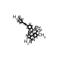 Cc1cc2nc(N)c3cnn(C)c3c2cc1C(=O)N(C)[C@@H]1COc2cc(C#Cc3cnn(C)c3)ccc21